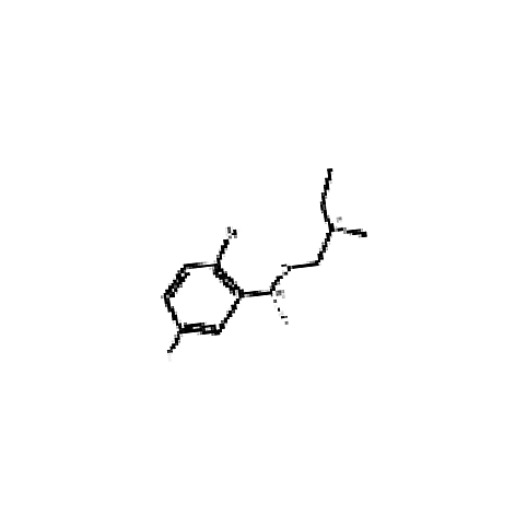 CC[C@@H](C)CO[C@H](C)c1cc(F)ccc1Br